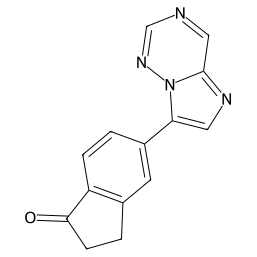 O=C1CCc2cc(-c3cnc4cncnn34)ccc21